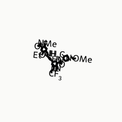 CCOc1cc(C(=O)NC)c(F)cc1NCC#Cc1cc(C(=O)N[C@H]2CCN(CCOC)C[C@@H]2C)c2ncn(CC(F)(F)F)c2c1